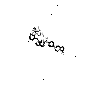 CN(c1ncccc1Cn1ccc2cnc(Nc3ccc(N4CCN5C(=O)CCC5C4)cc3)nc21)S(C)(=O)=O